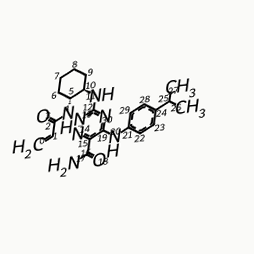 C=CC(=O)N[C@@H]1CCCC[C@H]1Nc1nnc(C(N)=O)c(Nc2ccc(C(C)C)cc2)n1